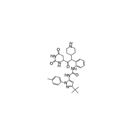 Cc1ccc(-n2nc(C(C)(C)C)cc2NC(=O)Nc2ccccc2C(C(=O)C2CC(=O)NC(=O)N2)C2CCNCC2)cc1